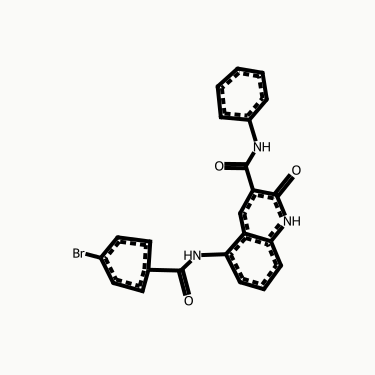 O=C(Nc1cccc2[nH]c(=O)c(C(=O)Nc3ccccc3)cc12)c1ccc(Br)cc1